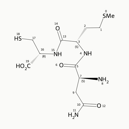 CSCC[C@H](NC(=O)[C@@H](N)CC(N)=O)C(=O)N[C@@H](CS)C(=O)O